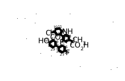 CC(C(=O)O)c1ccc2c(c1)[nH]c1ccc(Cl)cc12.O=C(O)c1cc(-c2ccc(F)cc2F)ccc1O